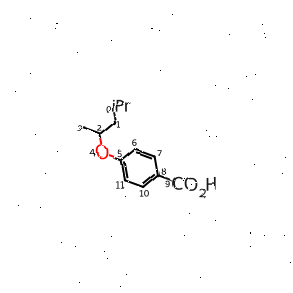 CC(C)CC(C)Oc1ccc(C(=O)O)cc1